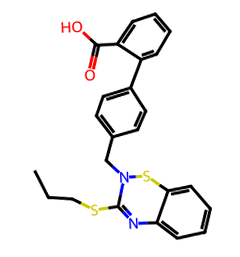 CCCSC1=Nc2ccccc2SN1Cc1ccc(-c2ccccc2C(=O)O)cc1